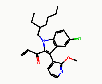 C=CC(=O)c1c(-c2cccnc2OC)c2cc(Cl)ccc2n1CC(CC)CCCC